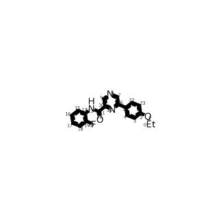 CCOc1ccc(-c2cncc(C(=O)Nc3ccccc3F)n2)cc1